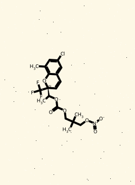 Cc1cc(Cl)cc2c1O[C@@](C(C)OC(=O)OCC(C)(C)CO[N+](=O)[O-])(C(F)(F)F)C=C2